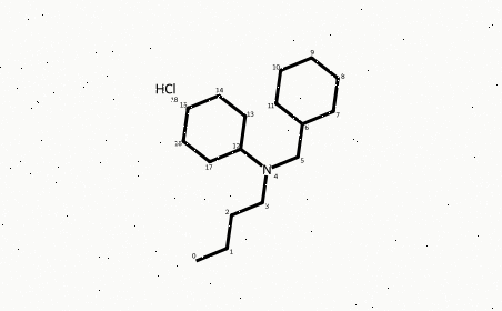 CCCCN(CC1CCCCC1)C1CCCCC1.Cl